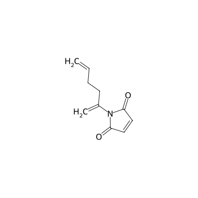 C=CCCC(=C)N1C(=O)C=CC1=O